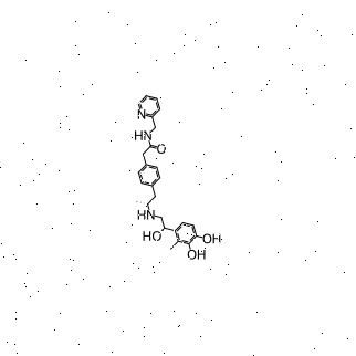 Cc1c([C@@H](O)CN[C@H](C)Cc2ccc(CC(=O)NCc3ccccn3)cc2)ccc(O)c1O